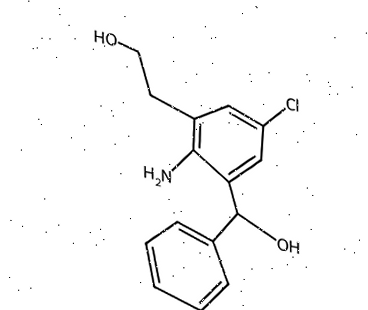 Nc1c(CCO)cc(Cl)cc1C(O)c1ccccc1